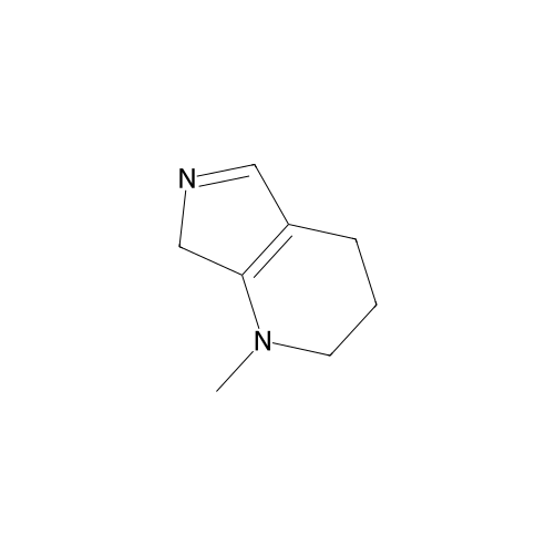 CN1CCCC2=C1CN=C2